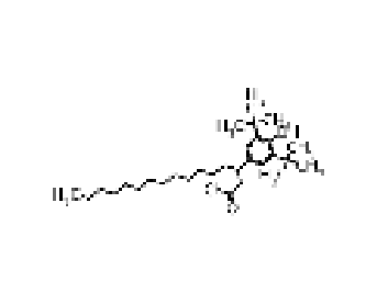 CCCCCCCCCCCCCC(CC(=O)Cl)c1cc(C(C)(C)C)c(O)c(C(C)(C)C)c1